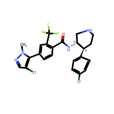 Cn1ncc(Cl)c1-c1ccc(C(=O)N[C@@H]2CNCC[C@H]2c2ccc(Cl)cc2)c(C(F)(F)F)c1